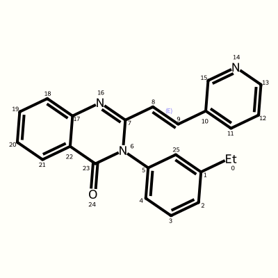 CCc1cccc(-n2c(/C=C/c3cccnc3)nc3ccccc3c2=O)c1